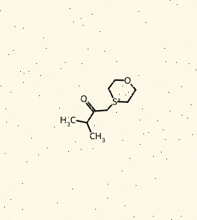 CC(C)C(=O)C[S+]1CCOCC1